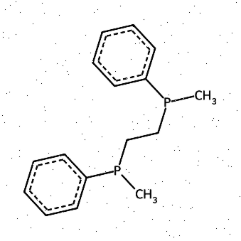 CP(CCP(C)c1ccccc1)c1ccccc1